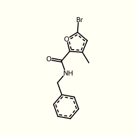 Cc1cc(Br)oc1C(=O)NCc1ccccc1